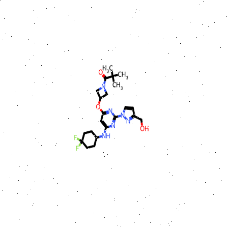 CC(C)(C)C(=O)N1CC(Oc2cc(NC3CCC(F)(F)CC3)nc(-n3ccc(CO)n3)n2)C1